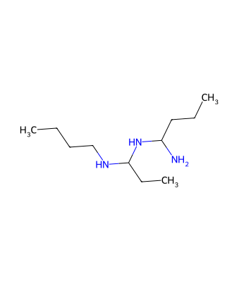 CCCCNC(CC)NC(N)CCC